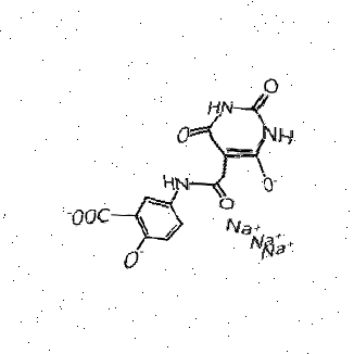 O=C([O-])c1cc(NC(=O)c2c([O-])[nH]c(=O)[nH]c2=O)ccc1[O-].[Na+].[Na+].[Na+]